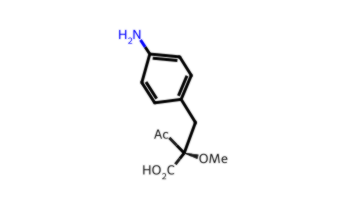 CO[C@](Cc1ccc(N)cc1)(C(C)=O)C(=O)O